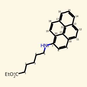 CCOC(=O)CCCCCNc1ccc2ccc3cccc4ccc1c2c34